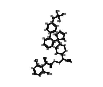 CC(CCNC(=O)c1c(Cl)cncc1Cl)N1CCC(C2(c3ccccc3-c3ccc(OC(F)(F)F)cc3)OC=CO2)CC1